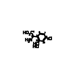 Cl.Cl.NC(C(=O)O)c1ccc(Cl)cc1